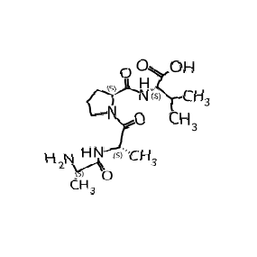 CC(C)[C@H](NC(=O)[C@@H]1CCCN1C(=O)[C@H](C)NC(=O)[C@H](C)N)C(=O)O